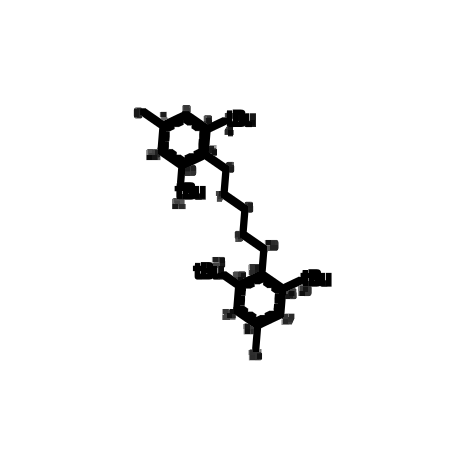 Cc1cc(C(C)(C)C)c(CCCCCc2c(C(C)(C)C)cc(C)cc2C(C)(C)C)c(C(C)(C)C)c1